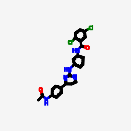 CC(=O)Nc1ccc(-c2ccnc(Nc3cccc(NC(=O)c4cc(Cl)ccc4Cl)c3)n2)cc1